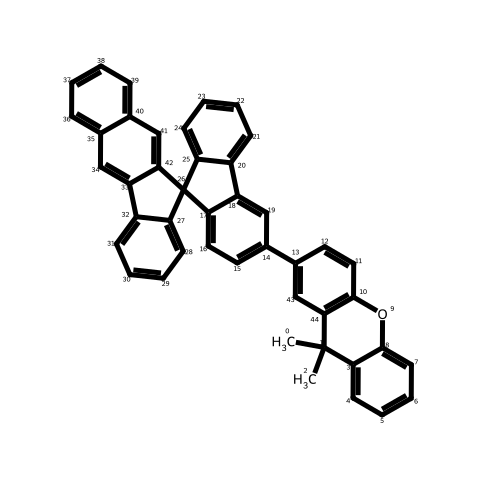 CC1(C)c2ccccc2Oc2ccc(-c3ccc4c(c3)-c3ccccc3C43c4ccccc4-c4cc5ccccc5cc43)cc21